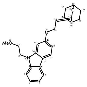 COCCn1c2ccccc2c2ccc(OCC=C3CC4CCN3CC4)cc21